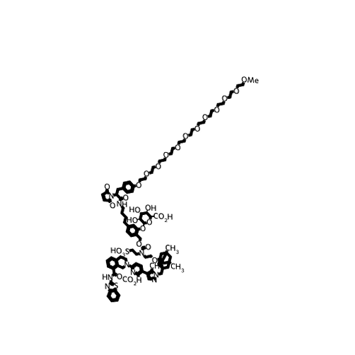 COCCOCCOCCOCCOCCOCCOCCOCCOCCOCCOCCOc1ccc(CC(C(=O)NCCCCc2ccc(COC(=O)N(CCOC34CC5(C)CC(C)(CC(Cn6ncc(-c7ccc(N8CCc9cccc(C(=O)Nc%10nc%11ccccc%11s%10)c9C8)nc7C(=O)O)c6C)(C5)C3)C4)CCS(=O)(=O)O)c(O[C@@H]3O[C@H](C(=O)O)[C@@H](O)[C@H](O)[C@H]3O)c2)N2C(=O)C=CC2=O)cc1